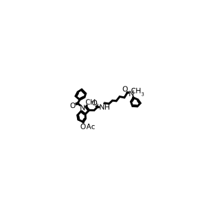 CC(=O)Oc1ccc2c(c1)c(CC(=O)NCCCCCCC(=O)N(C)c1ccccc1)c(C)n2C(=O)c1ccccc1